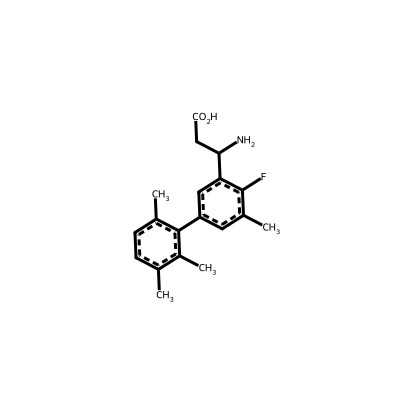 Cc1ccc(C)c(-c2cc(C)c(F)c(C(N)CC(=O)O)c2)c1C